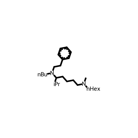 CCCCCCN(C)CCCCC(C(C)C)N(CCCC)CCc1ccccc1